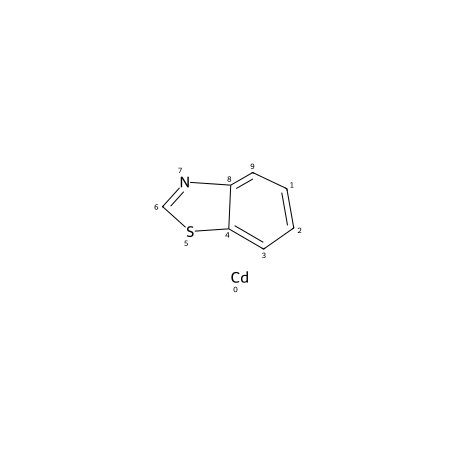 [Cd].c1ccc2scnc2c1